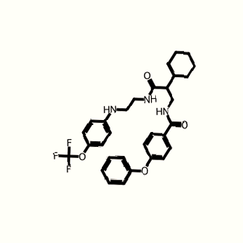 O=C(NCC(C(=O)NCCNc1ccc(OC(F)(F)F)cc1)C1CCCCC1)c1ccc(Oc2ccccc2)cc1